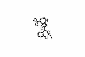 CCCOC(c1cc2nccc(C(=O)OC)c2[nH]1)c1ccccc1Cl